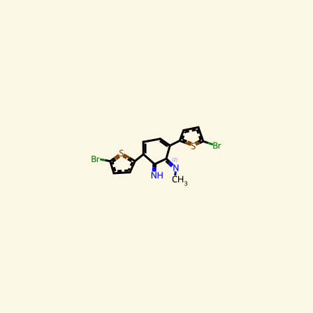 C/N=C1\C(=N)C(c2ccc(Br)s2)=CC=C1c1ccc(Br)s1